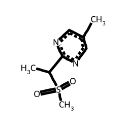 Cc1cnc(C(C)S(C)(=O)=O)nc1